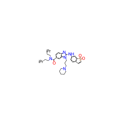 CC(C)CCN(CCC(C)C)C(=O)c1ccc2nc(Nc3ccc4c(c3)S(=O)(=O)C=C4)n(CCCN3CCCCC3)c2c1